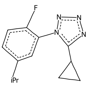 CC(C)c1ccc(F)c(-n2nnnc2C2CC2)c1